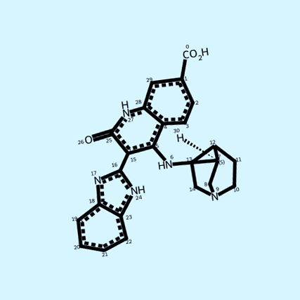 O=C(O)c1ccc2c(N[C@@H]3CN4CCC3CC4)c(-c3nc4ccccc4[nH]3)c(=O)[nH]c2c1